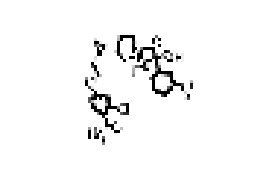 CNC(=O)c1ccc(OCC[C@@H]2C[C@@H]2C2CCN(C(=O)[C@](O)(c3cccc(OC)c3)C(F)(F)F)CC2)cc1Cl